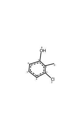 Cc1c(Cl)[c]ccc1O